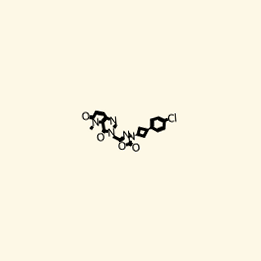 Cn1c(=O)ccc2ncn(Cc3nn([C@H]4C[C@H](c5ccc(Cl)cc5)C4)c(=O)o3)c(=O)c21